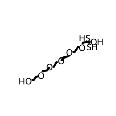 OCCOCCOCCOCCOCCOCC(O)(S)S